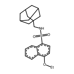 CCOc1ccc(S(=O)(=O)NCC23CC4CC(CC(C4)C2)C3)c2ccccc12